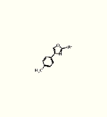 Cc1ccc(-c2coc(C(C)C)n2)cc1